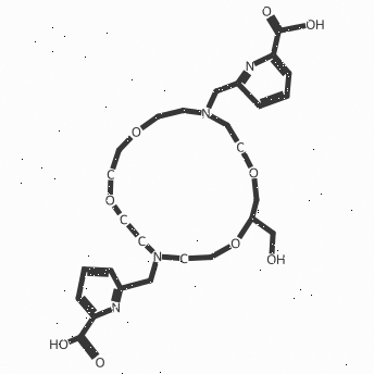 O=C(O)c1cccc(CN2CCOCCOCCN(Cc3cccc(C(=O)O)n3)CCOC(CO)COCC2)n1